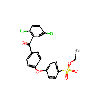 CC(C)(C)COS(=O)(=O)c1ccc(Oc2ccc(C(=O)c3cc(Cl)ccc3Cl)cc2)cc1